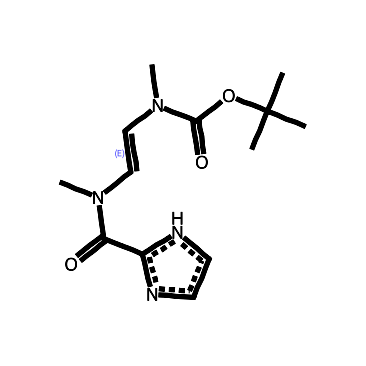 CN(/C=C/N(C)C(=O)c1ncc[nH]1)C(=O)OC(C)(C)C